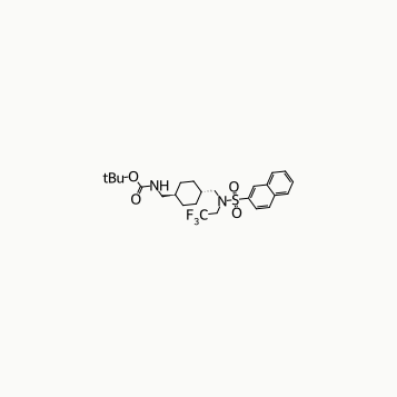 CC(C)(C)OC(=O)NC[C@H]1CC[C@H](CN(CC(F)(F)F)S(=O)(=O)c2ccc3ccccc3c2)CC1